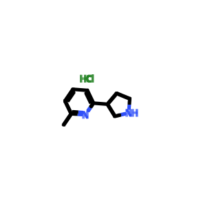 Cc1cccc(C2CCNC2)n1.Cl